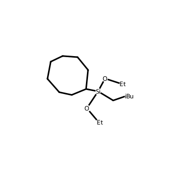 CCO[Si](CC(C)CC)(OCC)C1CCCCCCC1